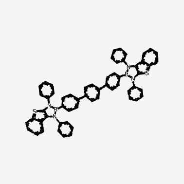 c1ccc(N2B(c3ccc(-c4ccc(-c5ccc(B6N(c7ccccc7)c7sc8ccccc8c7N6c6ccccc6)cc5)cc4)cc3)N(c3ccccc3)c3c2sc2ccccc32)cc1